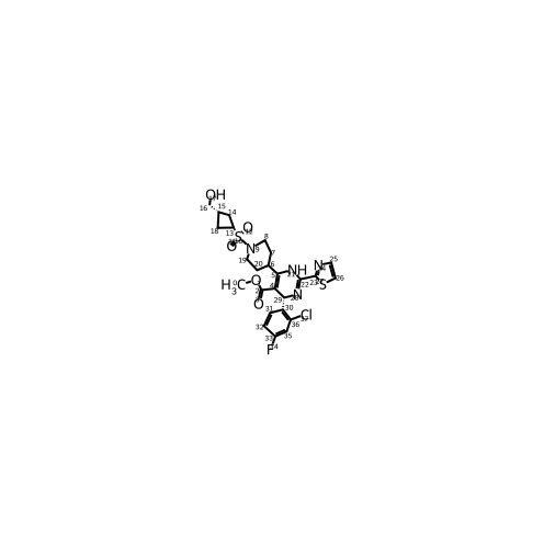 COC(=O)C1=C(C2CCN(S(=O)(=O)[C@H]3C[C@@H](CO)C3)CC2)NC(c2nccs2)=N[C@@H]1c1ccc(F)cc1Cl